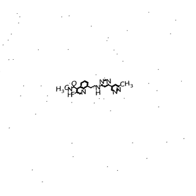 CNC(=O)c1c(F)cnc2c(CCNc3cc(-c4cnnc(C)c4)ncn3)cccc12